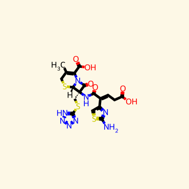 CC1=C(C(=O)O)N2C(=O)[C@@](CSc3nnn[nH]3)(NC(=O)C(=CCC(=O)O)c3csc(N)n3)[C@@H]2SC1